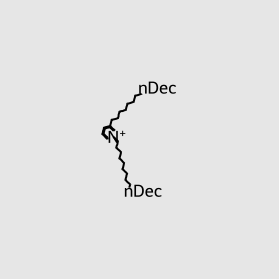 CCCCCCCCCCCCCCCCCCC[n+]1cccc(CCCCCCCCCCCCCCCCCC)c1